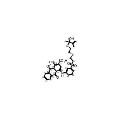 C=C(C)C(C)(O)OCCOCCS(=O)(=O)c1cccc(NC2=CC(S(=O)(=O)O)=C(N)C3C(=O)c4ccccc4C(=O)C23)c1